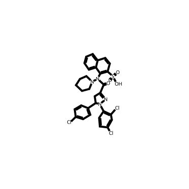 O=C(C1=NN(c2ccc(Cl)cc2Cl)C(c2ccc(Cl)cc2)C1)N(c1c(S(=O)(=O)O)ccc2ccccc12)N1CCCCC1